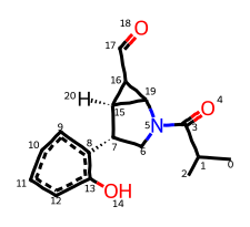 CC(C)C(=O)N1C[C@H](c2ccccc2O)[C@H]2C(C=O)C21